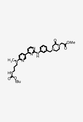 COC(=O)CN1CCN(Cc2cccc(Nc3nccc(-c4ccc(N(C)CCCNC(=O)OC(C)(C)C)nc4)n3)c2)CC1=O